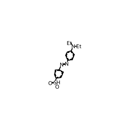 CCN(CC)c1ccc(N=Nc2ccc([SH](=O)=O)cc2)cc1